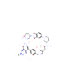 C=N/C=c1/c(=O)n(C)cc(-c2cc(OC)c(CN3CC(CC(=O)NC4CCCN(c5ccc6c(c5)C(=O)N(C5CCC(=O)NC5=O)C6=O)C4)C3)c(OC)c2)/c1=C/C